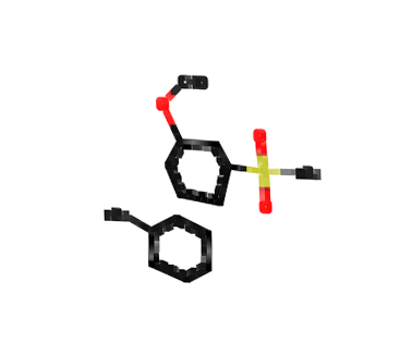 CCCCS(=O)(=O)c1cccc(OC=O)c1.CCCCc1ccccc1